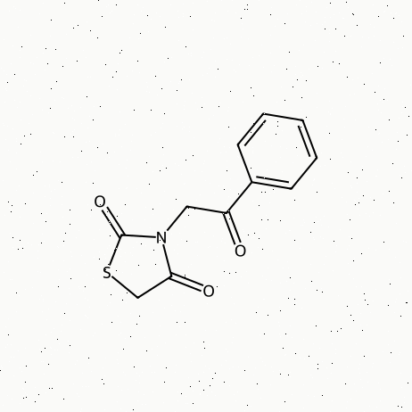 O=C(CN1C(=O)CSC1=O)c1ccccc1